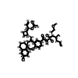 C=CC[C@H](C)[C@@H](CCOC)S(=O)(=O)NC(=O)c1ccc2c(c1)N(C[C@@H]1CC[C@H]1[C@H](C=C)OC(C)=O)C[C@@]1(CCCc3cc(Cl)ccc31)CO2